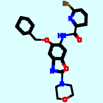 O=C(Nc1cc2oc(N3CCOCC3)nc2cc1OCc1ccccc1)c1cccc(Br)n1